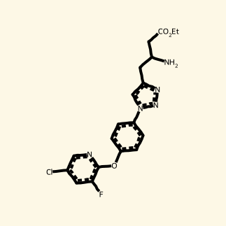 CCOC(=O)CC(N)Cc1cn(-c2ccc(Oc3ncc(Cl)cc3F)cc2)nn1